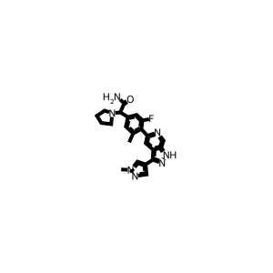 Cc1cc(C(C(N)=O)N2CCCC2)cc(F)c1-c1cc2c(-c3cnn(C)c3)n[nH]c2cn1